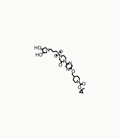 CC1(OC(=O)N2CCC(COc3cnc(N4CCN(S(=O)(=O)CCCN5C[C@@H](O)[C@H](O)C5)CC4=O)cn3)CC2)CC1